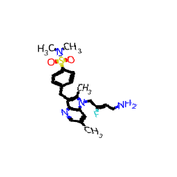 Cc1cnc2c(Cc3ccc(S(=O)(=O)N(C)C)cc3)c(C)n(C/C(F)=C/CN)c2c1